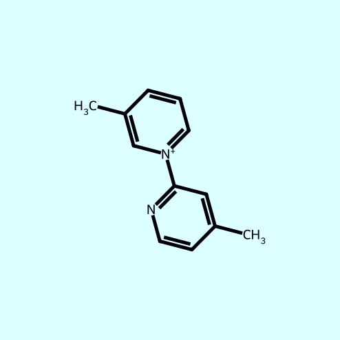 Cc1ccnc(-[n+]2cccc(C)c2)c1